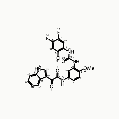 COc1ccc(NC(=O)C(=O)c2c[nH]c3ccccc23)cc1NC(=O)Nc1cc(F)c(F)cc1Cl